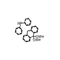 COC1(OC)c2ccccc2Cc2ccccc21.c1ccc(Pc2ccccc2)cc1